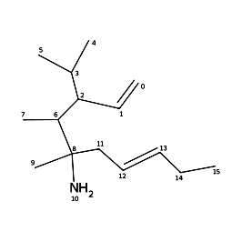 C=CC(C(C)C)C(C)C(C)(N)C/C=C/CC